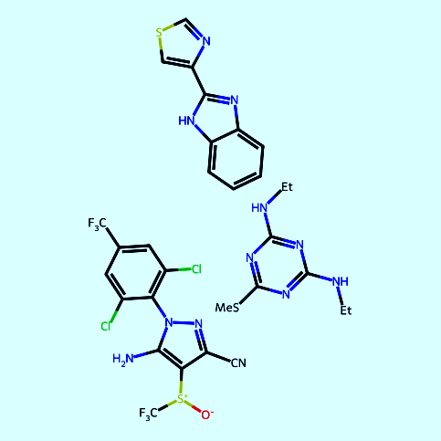 CCNc1nc(NCC)nc(SC)n1.N#Cc1nn(-c2c(Cl)cc(C(F)(F)F)cc2Cl)c(N)c1[S+]([O-])C(F)(F)F.c1ccc2[nH]c(-c3cscn3)nc2c1